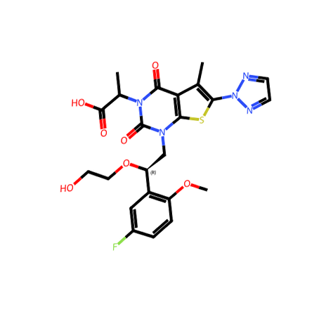 COc1ccc(F)cc1[C@H](Cn1c(=O)n(C(C)C(=O)O)c(=O)c2c(C)c(-n3nccn3)sc21)OCCO